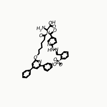 NC(C(=O)O)N(C(=O)CCCCCOc1cc(-c2ccccc2)cc(-c2ccccc2)n1)C(=O)c1ccc(NN=Cc2ccccc2S(=O)(=O)O)nc1